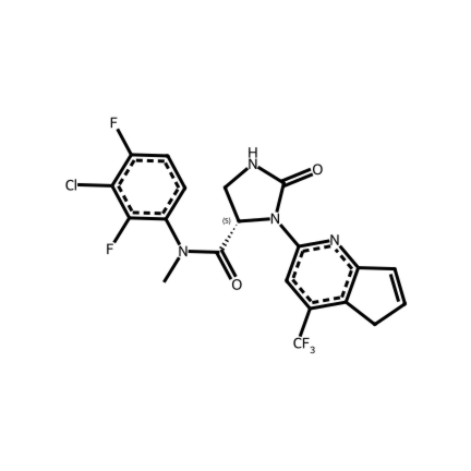 CN(C(=O)[C@@H]1CNC(=O)N1c1cc(C(F)(F)F)c2c(n1)C=CC2)c1ccc(F)c(Cl)c1F